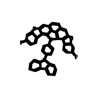 Fc1ccc2c(c1)oc1cc3ccc4cc5sc6cc(F)ccc6c5c5c4c3c(c12)n5-c1ccc(-n2c3ccccc3c3ccccc32)cc1